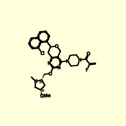 C=C(F)C(=O)N1CCN(c2nc(OC[C@@H]3C[C@H](OC)CN3C)nc3c2COC(c2cccc4cccc(Cl)c24)C3)CC1